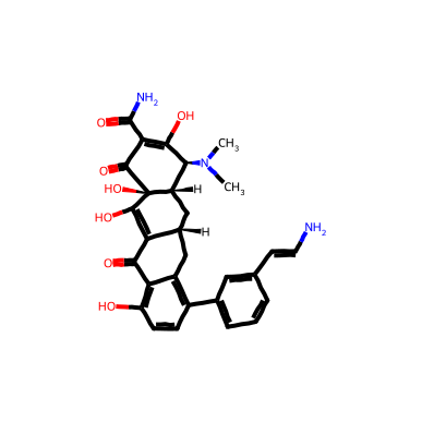 CN(C)[C@@H]1C(O)=C(C(N)=O)C(=O)[C@@]2(O)C(O)=C3C(=O)c4c(O)ccc(-c5cccc(/C=C/N)c5)c4C[C@H]3C[C@@H]12